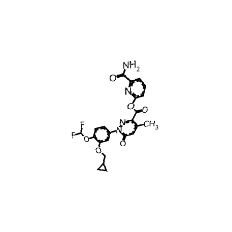 Cc1cc(=O)n(-c2ccc(OC(F)F)c(OCC3CC3)c2)nc1C(=O)Oc1cccc(C(N)=O)n1